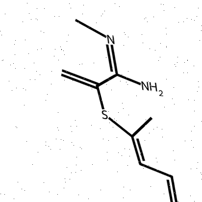 C=C/C=C(\C)SC(=C)/C(N)=N\C